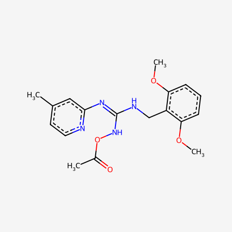 COc1cccc(OC)c1CNC(=Nc1cc(C)ccn1)NOC(C)=O